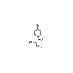 CC(O)c1csc2cc(Br)ccc12